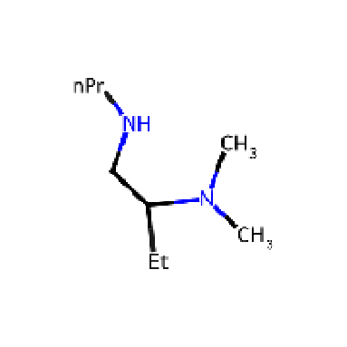 CCCNCC(CC)N(C)C